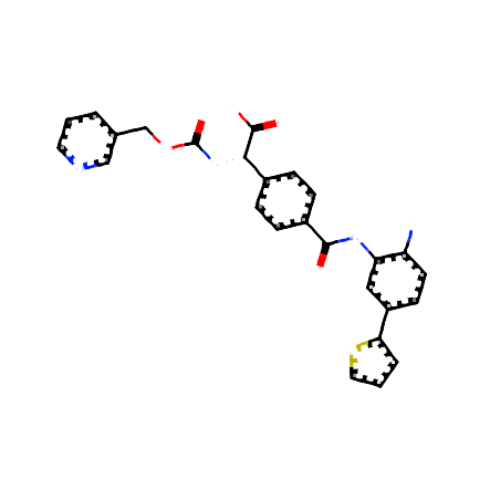 Nc1ccc(-c2cccs2)cc1NC(=O)c1ccc([C@H](NC(=O)OCc2cccnc2)C(=O)O)cc1